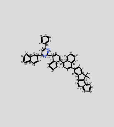 CC1(C)c2ccc(-c3ccc(-c4ccc(-c5nc(-c6ccccc6)cc(-c6ccc7ccccc7c6)n5)c5ccccc45)c4ccccc34)cc2-c2ccc3ccccc3c21